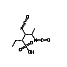 CCC(C(N=C=O)C(C)N=C=O)S(=O)(=O)O